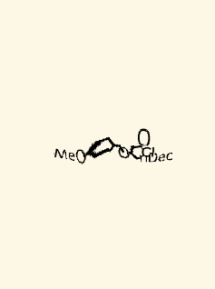 CCCCCCCCCCCC(CC(=O)Cl)OCc1ccc(OC)cc1